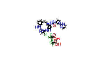 O=C(Nc1ccc2cc1CCc1cccc(c1)Nc1ncc(Cl)c(n1)N2)N[C@H]1CCN(c2ncccn2)C1.O=C(O)C(F)(F)F.O=C(O)C(F)(F)F